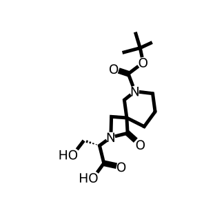 CC(C)(C)OC(=O)N1CCCC2(C1)CN([C@@H](CO)C(=O)O)C2=O